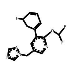 FC1C=CC=C(c2cc(Cn3cncn3)cnc2OC(F)F)C1